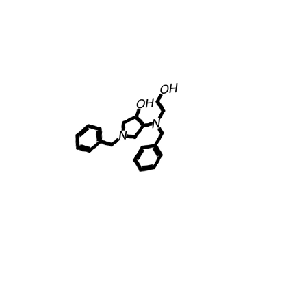 OCCN(Cc1ccccc1)C1CN(Cc2ccccc2)CC1O